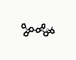 Cc1cccc2c1oc1c(-n3c4ccccc4c4cc(-c5ccc6c(c5)c5ccccc5n6-c5ccccc5)ccc43)cccc12